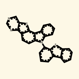 c1ccc2c(c1)sc1c(-n3c4ccccc4c4c5sc6cncnc6c5ccc43)cccc12